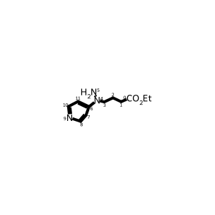 CCOC(=O)CCCN(N)c1ccncc1